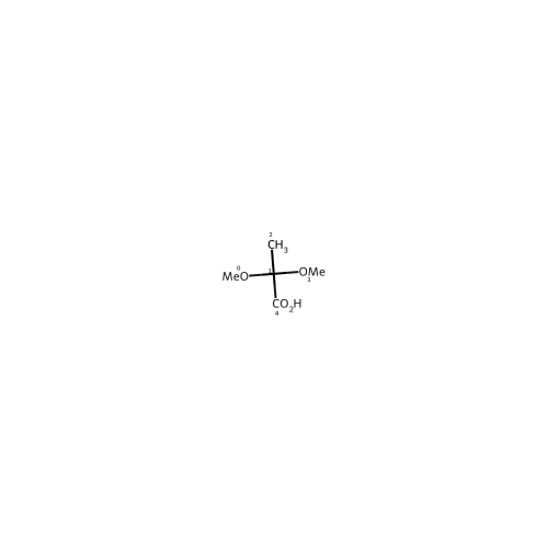 COC(C)(OC)C(=O)O